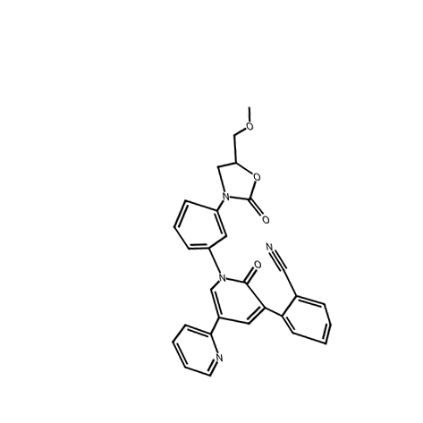 COCC1CN(c2cccc(-n3cc(-c4ccccn4)cc(-c4ccccc4C#N)c3=O)c2)C(=O)O1